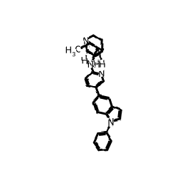 C[C@@H]1[C@@H](Nc2ccc(-c3ccc4c(ccn4-c4ccccc4)c3)cn2)C2CCN1CC2